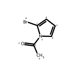 CC(=O)n1cccc1Br